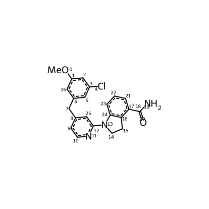 COc1cc(Cl)cc(Cc2ccnc(N3CCc4c(C(N)=O)cccc43)c2)c1